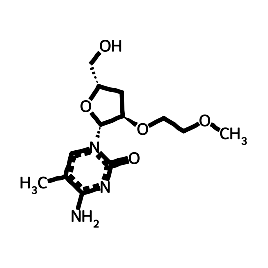 COCCO[C@@H]1C[C@@H](CO)O[C@H]1n1cc(C)c(N)nc1=O